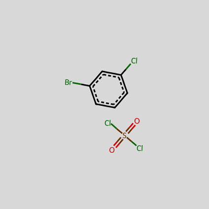 Clc1cccc(Br)c1.O=S(=O)(Cl)Cl